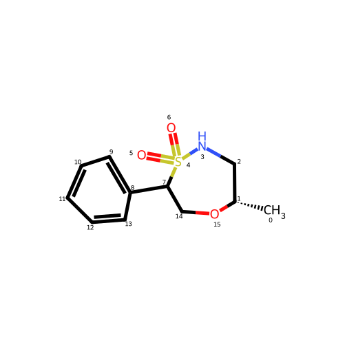 C[C@H]1CNS(=O)(=O)C(c2ccccc2)CO1